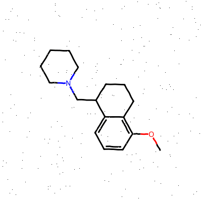 COc1cccc2c1CCCC2CN1CCCCC1